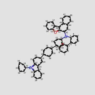 c1ccc(-c2ccccc2N(c2ccc(-c3ccc(-c4ccc5c(c4)c4ccccc4n5-c4ccccc4)cc3)cc2)c2cc3ccccc3c3c2oc2ccccc23)cc1